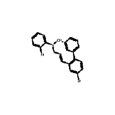 CCc1ccccc1N(C)CC=Cc1cc(Br)ccc1-c1ccccc1